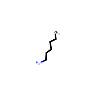 C[CH]CCCCN